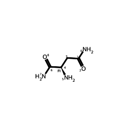 NC(=O)C[C@@H](N)C(N)=O